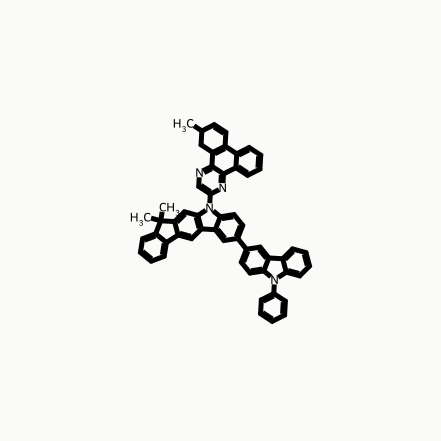 CC1C=Cc2c(c3ncc(-n4c5ccc(-c6ccc7c(c6)c6ccccc6n7-c6ccccc6)cc5c5cc6c(cc54)C(C)(C)c4ccccc4-6)nc3c3ccccc23)C1